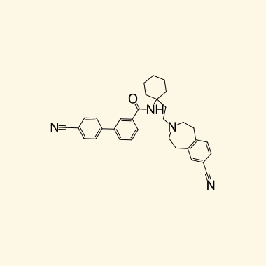 N#Cc1ccc(-c2cccc(C(=O)NC3(CCN4CCc5ccc(C#N)cc5CC4)CCCCC3)c2)cc1